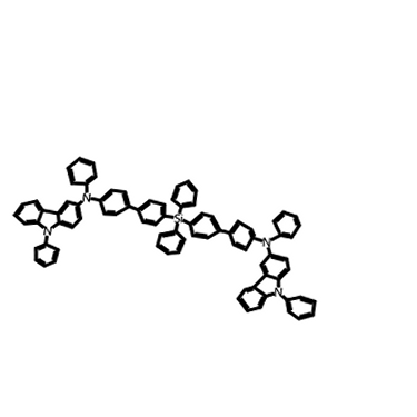 c1ccc(N(c2ccc(-c3ccc([Si](c4ccccc4)(c4ccccc4)c4ccc(-c5ccc(N(c6ccccc6)c6ccc7c(c6)c6ccccc6n7-c6ccccc6)cc5)cc4)cc3)cc2)c2ccc3c(c2)c2ccccc2n3-c2ccccc2)cc1